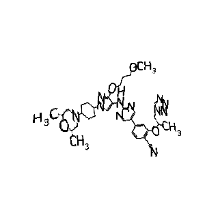 COCCCOc1nn(C2CCC(N3C[C@@H](C)O[C@@H](C)C3)CC2)cc1Nc1ncc(-c2ccc(C#N)c(OC(C)Cn3cnnn3)c2)cn1